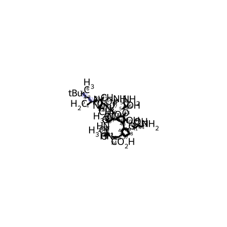 C=C/C(=C\C=C(/C)C(C)(C)C)c1nc(C)c(C(=O)N[C@@H](CCN)C(=O)N(C)[C@@H]2C(=O)N[C@@H](C)C(=O)N[C@H](C(=O)O)Cc3ccc(OC[C@H](O)CN)c(c3)-c3cc2cc(OC[C@H](O)CN)c3O)c(C)n1